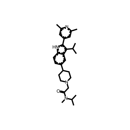 Cc1cc(-c2[nH]c3ccc(C4CCN(CC(=O)N(C)C(C)C)CC4)cc3c2C(C)C)cc(C)n1